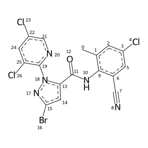 Cc1cc(Cl)cc(C#N)c1NC(=O)c1cc(Br)nn1-c1ncc(Cl)cc1Cl